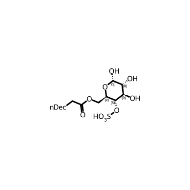 CCCCCCCCCCCC(=O)OC[C@H]1O[C@H](O)[C@H](O)[C@@H](O)[C@@H]1OS(=O)(=O)O